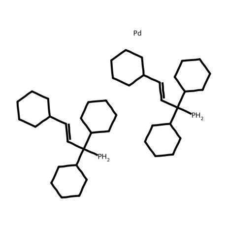 PC(C=CC1CCCCC1)(C1CCCCC1)C1CCCCC1.PC(C=CC1CCCCC1)(C1CCCCC1)C1CCCCC1.[Pd]